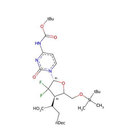 CCCCCCCCCCCC(C(=O)O)[C@@H]1C(CO[Si](C)(C)C(C)(C)C)O[C@@H](n2ccc(NC(=O)OC(C)(C)C)nc2=O)C1(F)F